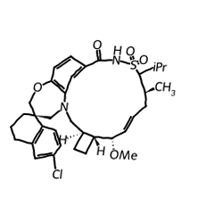 CO[C@H]1/C=C/C[C@H](C)C(C(C)C)S(=O)(=O)NC(=O)c2ccc3c(c2)N(C[C@@H]2CC[C@H]21)C[C@@]1(CCCc2cc(Cl)ccc21)CO3